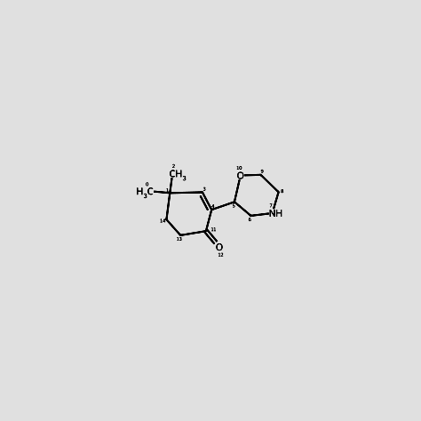 CC1(C)C=C(C2CNCCO2)C(=O)CC1